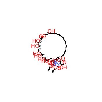 C=CCOC(=O)NC1[C@H](O)C(O[C@H]2/C=C/C=C/C=C/C=C/C=C/C=C/C=C/[C@H](C)[C@@H](O)[C@@H](C)[C@H](C)OC(=O)C[C@H](O)C[C@H](O)CC[C@@H](O)[C@H](O)C[C@H](O)CC(O)(O)C[C@H](OC(=O)OCC=C)[C@@H](N=C=O)CC2)O[C@H](C)[C@H]1O